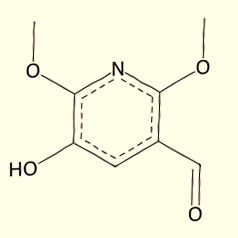 COc1nc(OC)c(C=O)cc1O